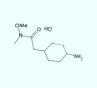 CON(C)C(=O)CC1CCC(N)CC1.Cl